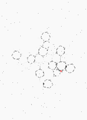 CC(C)(C)c1ccc(N2B3c4cc5c(-c6ccccc6)oc(-c6ccccc6)c5cc4N(c4ccc(C(C)(C)C)cc4-c4ccccc4)c4c3c(cc3c4sc4ccccc43)-c3cc4c(cc32)C(C)(C)c2ccccc2-4)cc1